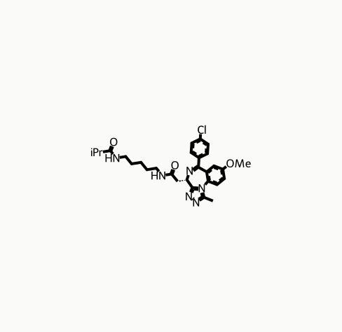 COc1ccc2c(c1)C(c1ccc(Cl)cc1)=N[C@@H](CC(=O)NCCCCCNC(=O)C(C)C)c1nnc(C)n1-2